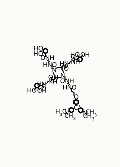 CN(C)c1ccc([C+](c2ccc(OCCCC(=O)NCCNC(=O)CN3CCN(CC(=O)NCCNC(=O)c4cccc(O)c4O)CCN(CC(=O)NCCNC(=O)c4cccc(O)c4O)CCN(CC(=O)NCCNC(=O)c4cccc(O)c4O)CC3)cc2)c2ccc(N(C)C)cc2)cc1